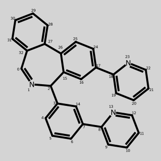 C1=NC(c2cccc(-c3ccccn3)c2)c2cc(-c3ccccn3)ccc2-c2ccccc21